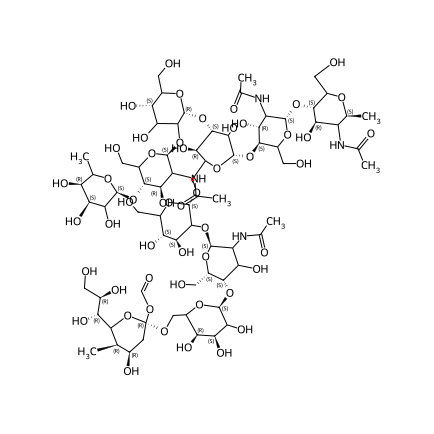 CC(=O)NC1C(O)[C@H](O[C@@H]2OC(CO[C@]3(OC=O)C[C@@H](O)[C@@H](C)C([C@H](O)[C@H](O)CO)O3)[C@H](O)[C@H](O)C2O)[C@H](CO)O[C@H]1OC1[C@@H](OCC2O[C@@H](O[C@@H]3C(CO)O[C@@H](O[C@@H]4C(CO)O[C@@H](C)C(NC(C)=O)[C@H]4O)C(NC(C)=O)[C@H]3O)C(O)[C@@H](O[C@H]3OC(CO)[C@@H](O)C(O)C3O[C@@H]3OC(CO)[C@@H](O[C@@H]4OC(C)[C@H](O)[C@H](O)C4O)[C@H](O)C3NC(C)=O)[C@@H]2O)OC(CO)[C@@H](O)[C@@H]1O